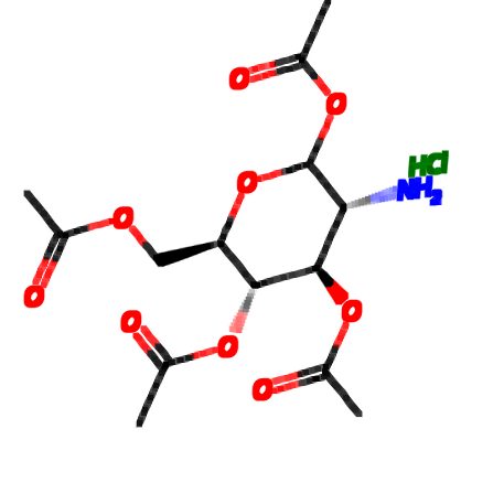 CC(=O)OC[C@H]1OC(OC(C)=O)[C@H](N)[C@@H](OC(C)=O)[C@@H]1OC(C)=O.Cl